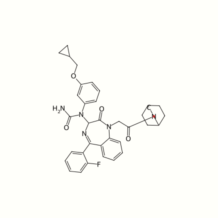 NC(=O)N(c1cccc(OCC2CC2)c1)C1N=C(c2ccccc2F)c2ccccc2N(CC(=O)N2CC3CCC(CC3)C2)C1=O